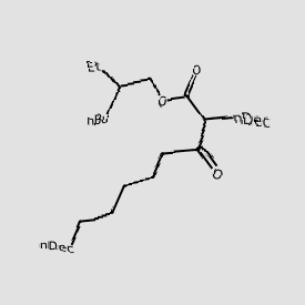 CCCCCCCCCCCCCCCC(=O)C(CCCCCCCCCC)C(=O)OCC(CC)CCCC